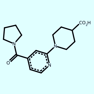 O=C(O)C1CCN(c2cc(C(=O)N3CCCC3)ccn2)CC1